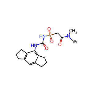 CC(C)N(C)C(=O)CS(=O)(=O)NC(=O)Nc1c2c(cc3c1CCC3)CCC2